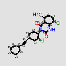 Cc1ccc(Cl)c2[nH]c(=O)n(-c3ccc(C#Cc4ccccc4)cc3Cl)c(=O)c12